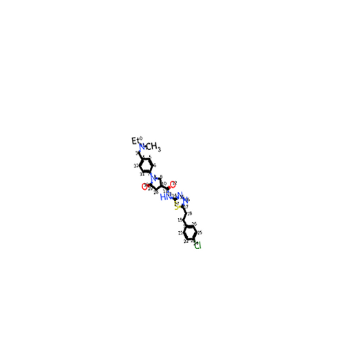 CCN(C)Cc1ccc(N2CC(C(=O)Nc3nnc(CCc4ccc(Cl)cc4)s3)CC2=O)cc1